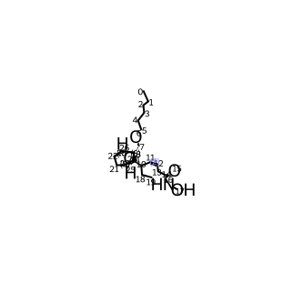 CCCCCCOC[C@@H]1[C@@H](C(/C=C\CC(=O)NO)CC)[C@@H]2CC[C@H]1O2